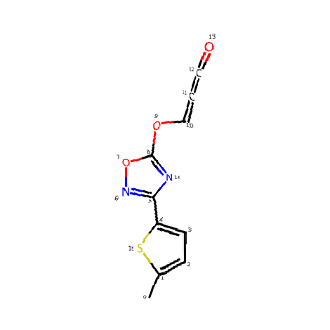 Cc1ccc(-c2noc(OC=C=C=O)n2)s1